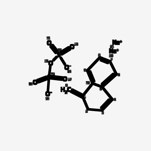 C=C1CC=Cc2ccccc21.O=S(=O)([O-])OS(=O)(=O)[O-].[Na+].[Na+]